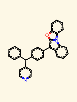 c1ccc(C(c2ccncc2)c2ccc(-c3c4ccccc4n4c3oc3ccccc34)cc2)cc1